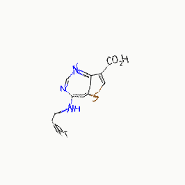 CC(C)CNc1ncnc2c(C(=O)O)csc12